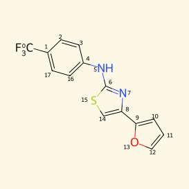 FC(F)(F)c1ccc(Nc2nc(-c3ccco3)cs2)cc1